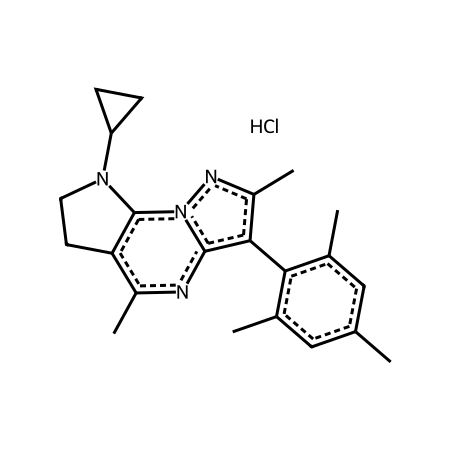 Cc1cc(C)c(-c2c(C)nn3c4c(c(C)nc23)CCN4C2CC2)c(C)c1.Cl